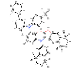 Cc1cc2c3c(c1)N(c1ccc4c(c1)C(C)(C)CCC4(C)C)c1c(oc4cc5c(cc14)C(C)(C)CCC5(C)C)B3c1cc(C(C)(C)C)ccc1N2c1cc(-c2ccccc2C)ccc1C